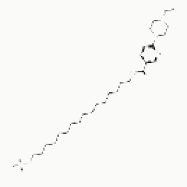 CCN1CCN(c2ccc(C(=O)NCCCCCCCCCCCCCCCCOS(C)(=O)=O)cn2)CC1